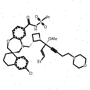 CC/C=C/[C@@](C#CCCN1CCOCC1)(OC)[C@@H]1CC[C@H]1CN1C[C@@]2(CCCc3cc(Cl)ccc32)COc2ccc(C(=O)NS(=O)(=O)C(C)C)cc21